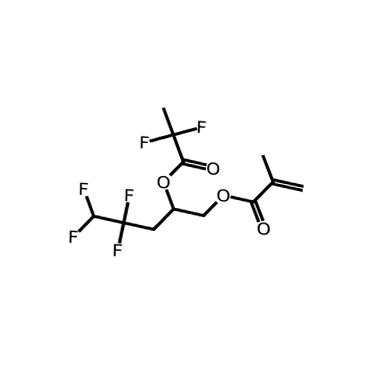 C=C(C)C(=O)OCC(CC(F)(F)C(F)F)OC(=O)C(C)(F)F